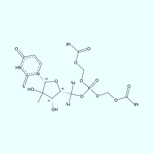 [2H]C([2H])(OP(=O)(OCOC(=O)C(C)C)OCOC(=O)C(C)C)[C@H]1O[C@@H](n2ccc(=O)[nH]c2=S)C(C)(O)[C@H]1O